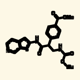 COC(=O)c1ccc(C(CNC(=O)OC(C)(C)C)C(=O)Nc2cc3ccncc3s2)cc1